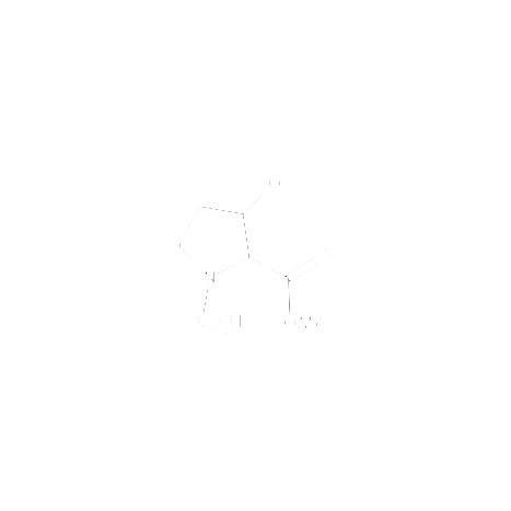 COC(=O)C1C(O)CCN1C(=O)O